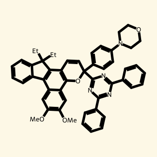 CCC1(CC)c2ccccc2-c2c1c1c(c3cc(OC)c(OC)cc23)OC(c2ccc(N3CCOCC3)cc2)(c2nc(-c3ccccc3)nc(-c3ccccc3)n2)C=C1